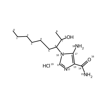 CCCCCCC(C(C)O)n1cnc(C(N)=O)c1N.Cl